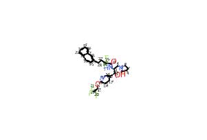 O=C(NC(CN1CCCC1)C(O)c1ccc(OCC(F)(F)F)nc1)C(F)(F)CCc1ccc2ccccc2c1